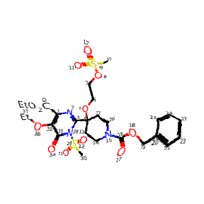 CCOC(=O)c1nc(C2(OCCOS(C)(=O)=O)CCN(C(=O)OCc3ccccc3)CC2)n(S(C)(=O)=O)c(=O)c1OCC